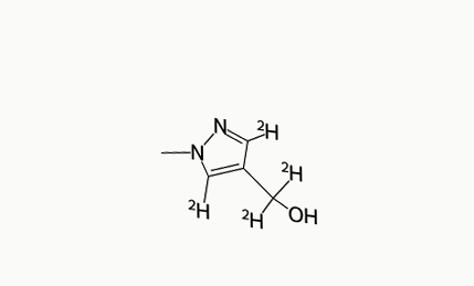 [2H]c1nn(C)c([2H])c1C([2H])([2H])O